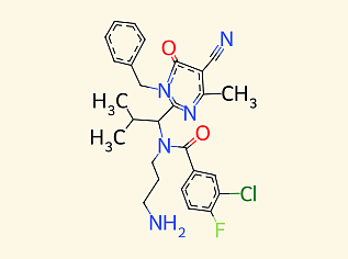 Cc1nc(C(C(C)C)N(CCCN)C(=O)c2ccc(F)c(Cl)c2)n(Cc2ccccc2)c(=O)c1C#N